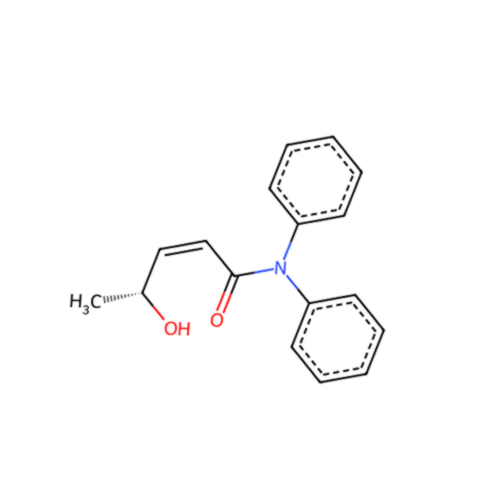 C[C@@H](O)/C=C\C(=O)N(c1ccccc1)c1ccccc1